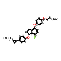 CCOC(=O)[C@H]1C[C@@H]1c1ccc(O[C@@H]2CCc3c(Oc4ccc(OCCOC(C)=O)cc4)ccc(F)c32)cc1